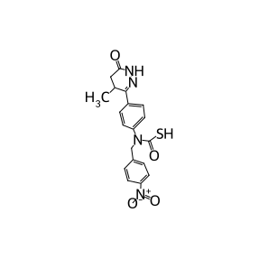 CC1CC(=O)NN=C1c1ccc(N(Cc2ccc([N+](=O)[O-])cc2)C(=O)S)cc1